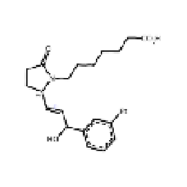 CCc1cccc(C(O)/C=C/[C@H]2CCC(=O)N2CCCCCCC(=O)O)c1